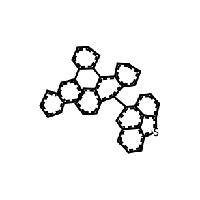 c1ccc(-c2c3ccccc3c(-c3cc4cccc5sc6cccc3c6c45)c3ccccc23)c(-c2ccc3ccccc3c2)c1